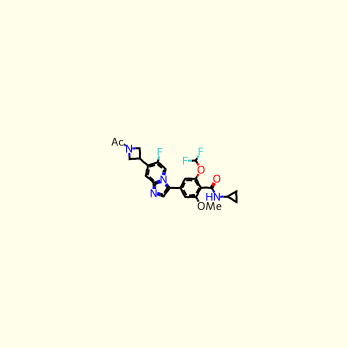 COc1cc(-c2cnc3cc(C4CN(C(C)=O)C4)c(F)cn23)cc(OC(F)F)c1C(=O)NC1CC1